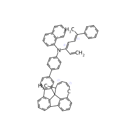 C=C/C(=C\C=C(/C)c1ccccc1)N(c1ccc(-c2ccc3c(c2)C24c5c(cccc5-c5cccc-3c52)C/C=C\C=C/C4C)cc1)c1cccc2ccccc12